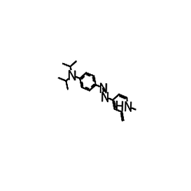 C=C/C=C(\C=C/NC)/N=N/c1ccc(N(C(C)C)C(C)C)cc1